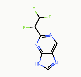 FC(F)C(F)c1ncc2nc[nH]c2n1